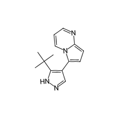 CC(C)(C)c1[nH]ncc1-c1ccc2ncccn12